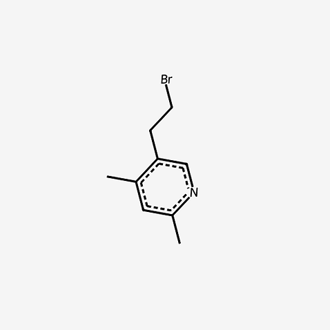 Cc1cc(C)c(CCBr)cn1